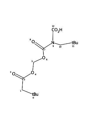 CC(C)(C)CC(=O)OCOC(=O)N(CC(C)(C)C)C(=O)O